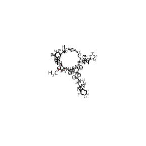 C=C[C@@H]1C[C@@]12NC(=O)[C@@H]1C[C@@H](OC(=O)N3CCn4c(nc5ccccc54)C3)CN1C(=O)[C@@H](NC(=O)OC1CCCC1)CCCCCCCNc1ccc(F)cc1S(=O)(=O)NC2=O